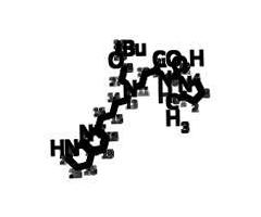 CC1CCCN1C(=O)NC(CCN(CCCCc1ccc2c(n1)NCCC2)CCOC(C)(C)C)C(=O)O